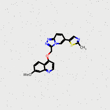 COc1ccc2c(OCc3nnc4ccc(-c5cnc(C)s5)cn34)ccnc2c1